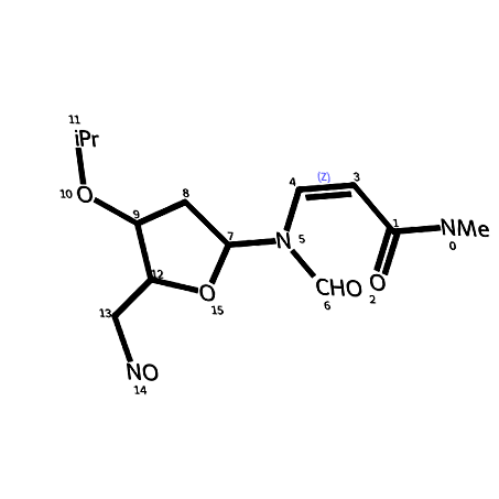 CNC(=O)/C=C\N(C=O)C1CC(OC(C)C)C(CN=O)O1